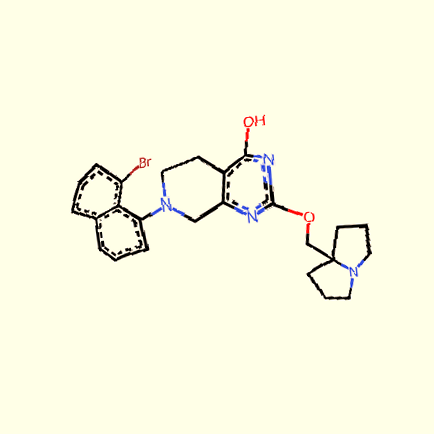 Oc1nc(OCC23CCCN2CCC3)nc2c1CCN(c1cccc3cccc(Br)c13)C2